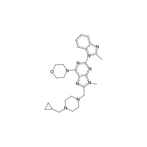 Cc1nc2ccccc2n1-c1nc(N2CCOCC2)c2nc(CN3CCN(CC4CC4)CC3)n(C)c2n1